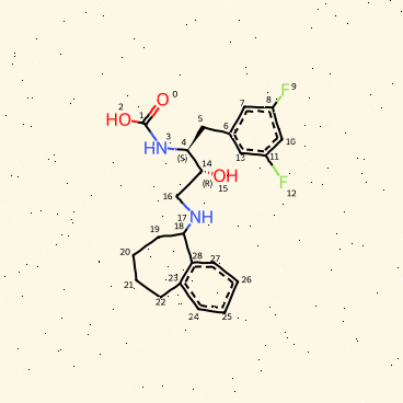 O=C(O)N[C@@H](Cc1cc(F)cc(F)c1)[C@H](O)CNC1CCCCc2ccccc21